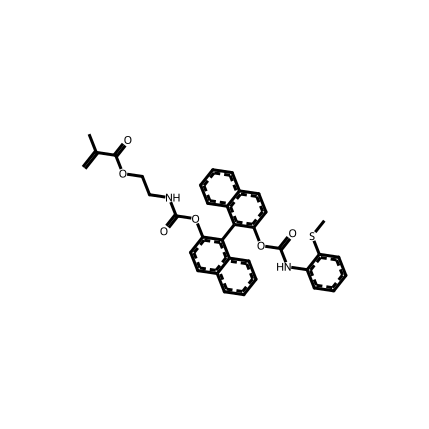 C=C(C)C(=O)OCCNC(=O)Oc1ccc2ccccc2c1-c1c(OC(=O)Nc2ccccc2SC)ccc2ccccc12